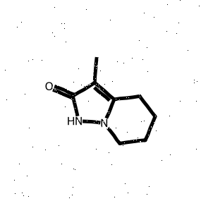 Cc1c2n([nH]c1=O)CCCC2